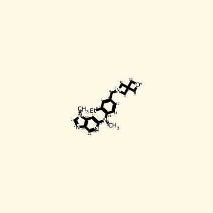 CCc1cc(CN2CC3(COC3)C2)ccc1N(C)c1cc2c(cn1)ncn2C